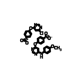 COc1ccc(Nc2cc(Oc3ccc([N+](=O)[O-])cc3)ncn2)cc1.O=[N+]([O-])c1ccc(Oc2cc(Cl)ncn2)cc1